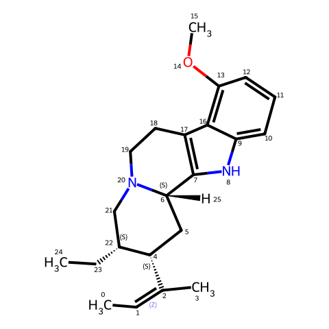 C/C=C(/C)[C@H]1C[C@H]2c3[nH]c4cccc(OC)c4c3CCN2C[C@H]1CC